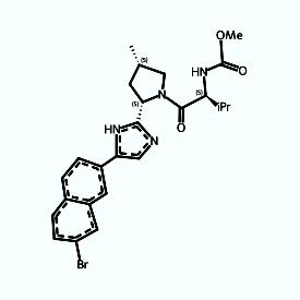 COC(=O)N[C@H](C(=O)N1C[C@@H](C)C[C@H]1c1ncc(-c2ccc3ccc(Br)cc3c2)[nH]1)C(C)C